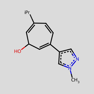 CC(C)C1=CC(O)C=C(c2cnn(C)c2)C=C1